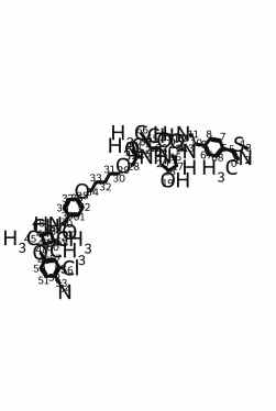 Cc1ncsc1-c1ccc([C@H](CN)NC(=O)[C@@H]2C[C@@H](O)CN2C(=O)C(NC(=O)COCCCCCOc2ccc(C(=O)N[C@H]3C(C)(C)[C@H](Oc4ccc(C#N)c(Cl)c4)C3(C)C)cc2)C(C)(C)C)cc1